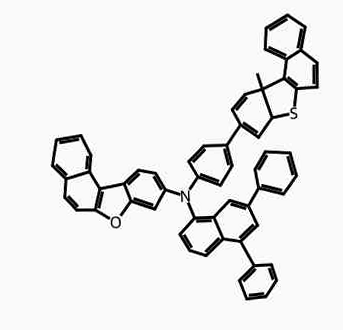 CC12C=CC(c3ccc(N(c4ccc5c(c4)oc4ccc6ccccc6c45)c4cccc5c(-c6ccccc6)cc(-c6ccccc6)cc45)cc3)=CC1Sc1ccc3ccccc3c12